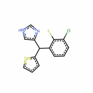 Fc1c(Cl)cccc1C(c1c[nH]cn1)c1cccs1